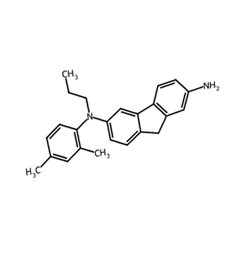 CCCN(c1ccc2c(c1)-c1ccc(N)cc1C2)c1ccc(C)cc1C